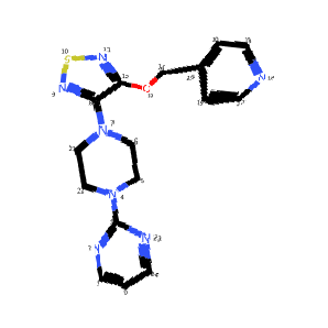 c1cnc(N2CCN(c3nsnc3OCc3ccncc3)CC2)nc1